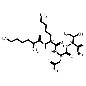 CC(C)[C@H](NC(=O)[C@H](CC(=O)O)NC(=O)[C@H](CCCCN)NC(=O)[C@@H](N)CCCCN)C(N)=O